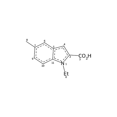 CCn1c(C(=O)O)cc2cc(C)ccc21